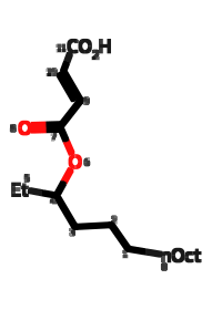 CCCCCCCCCCCC(CC)OC(=O)C=CC(=O)O